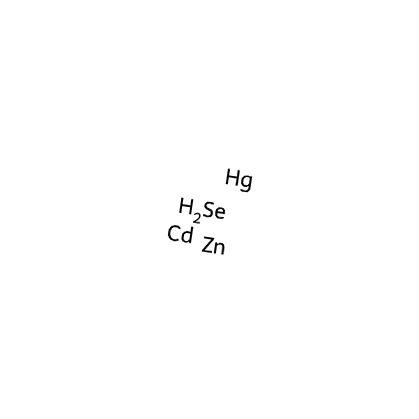 [Cd].[Hg].[SeH2].[Zn]